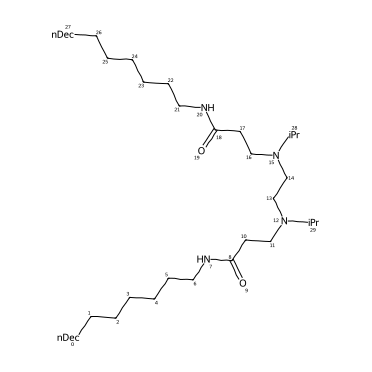 CCCCCCCCCCCCCCCCNC(=O)CCN(CCN(CCC(=O)NCCCCCCCCCCCCCCCC)C(C)C)C(C)C